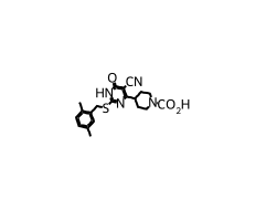 Cc1ccc(C)c(CSc2nc(C3CCN(C(=O)O)CC3)c(C#N)c(=O)[nH]2)c1